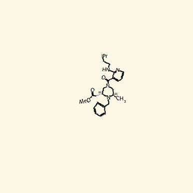 COC(=O)C[C@@H]1CN(C(=O)c2cccnc2NCCC(C)C)C[C@@H](C)N1Cc1ccccc1